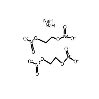 O=[N+]([O-])OCCO[N+](=O)[O-].O=[N+]([O-])OCCO[N+](=O)[O-].[NaH].[NaH]